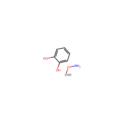 NOC=O.Oc1ccccc1O